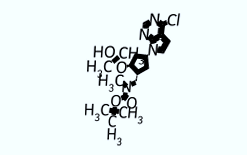 CN(C[C@H]1C[C@@H](n2ccc3c(Cl)ncnc32)C[C@@H]1OC(C)(C)O)C(=O)OC(C)(C)C